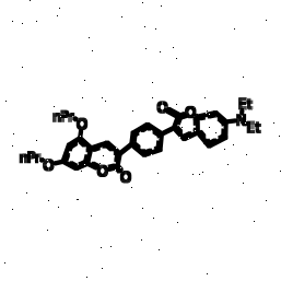 CCCOc1cc(OCCC)c2cc(-c3ccc(-c4cc5ccc(N(CC)CC)cc5oc4=O)cc3)c(=O)oc2c1